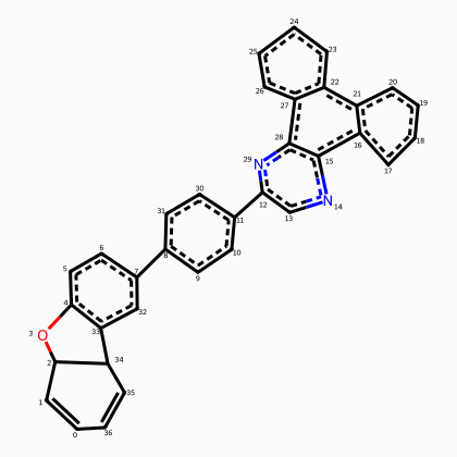 C1=CC2Oc3ccc(-c4ccc(-c5cnc6c7ccccc7c7ccccc7c6n5)cc4)cc3C2C=C1